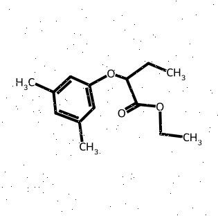 CCOC(=O)C(CC)Oc1cc(C)cc(C)c1